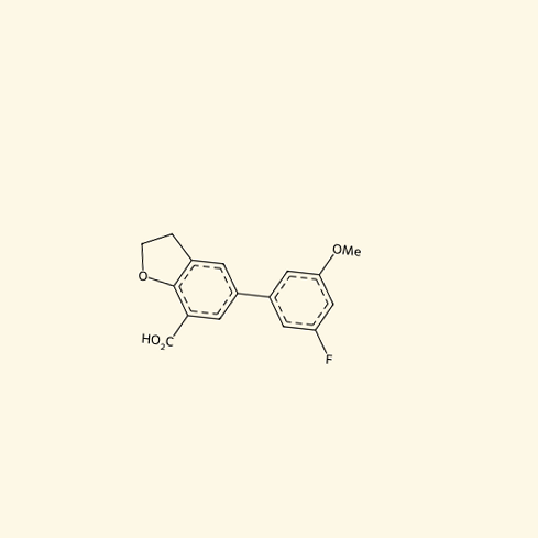 COc1cc(F)cc(-c2cc3c(c(C(=O)O)c2)OCC3)c1